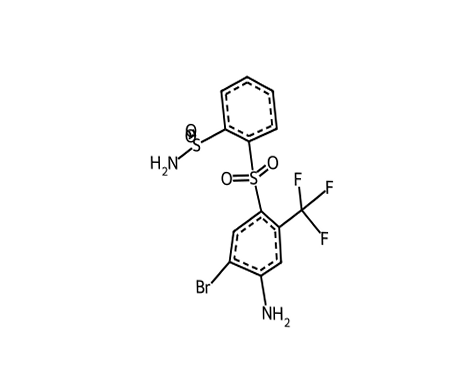 Nc1cc(C(F)(F)F)c(S(=O)(=O)c2ccccc2S(N)(=O)=O)cc1Br